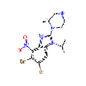 CC(C)n1c(N2CCNC[C@@H]2C)nc2c([N+](=O)[O-])c(Br)c(Br)cc21